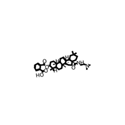 CN(C)CCNC(=O)[C@]12CCC(C)(C)C[C@H]1C1=CC[C@@H]3[C@@]4(C)CC[C@H](OC(=O)c5ccccc5C(=O)O)C(C)(C)[C@@H]4CC[C@@]3(C)[C@]1(C)CC2